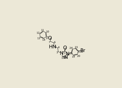 O=c1n(CCNCCOc2ccccc2)cnn1-c1ccc(Br)cc1